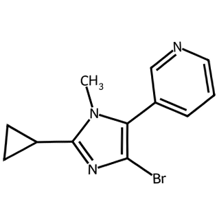 Cn1c(C2CC2)nc(Br)c1-c1cccnc1